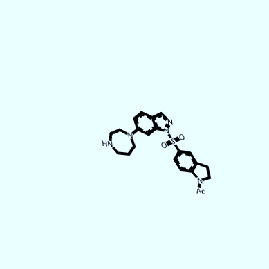 CC(=O)N1CCc2cc(S(=O)(=O)n3ncc4ccc(N5CCCNCC5)cc43)ccc21